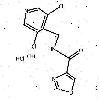 Cl.Cl.O=C(NCc1c(Cl)cncc1Cl)c1cocn1